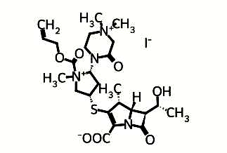 C=CCOC(=O)[N+]1(C)C[C@@H](SC2=C(C(=O)[O-])N3C(=O)[C@H]([C@@H](C)O)[C@H]3[C@H]2C)C[C@H]1N1CC[N+](C)(C)CC1=O.[I-]